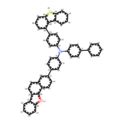 c1ccc(-c2ccc(N(c3ccc(-c4ccc5c(ccc6c7ccccc7oc56)c4)cc3)c3ccc(-c4cccc5sc6ccccc6c45)cc3)cc2)cc1